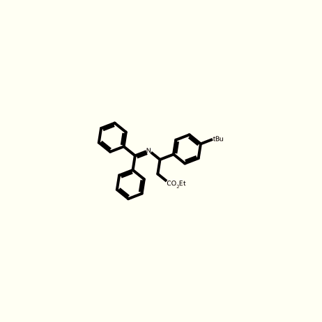 CCOC(=O)CC(N=C(c1ccccc1)c1ccccc1)c1ccc(C(C)(C)C)cc1